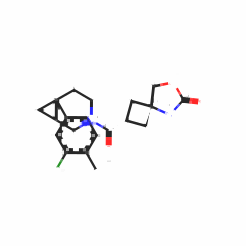 Cc1ccc(C23CCN(C(=O)[C@H]4C[C@]5(COC(=O)N5)C4)CC2C3)cc1Cl